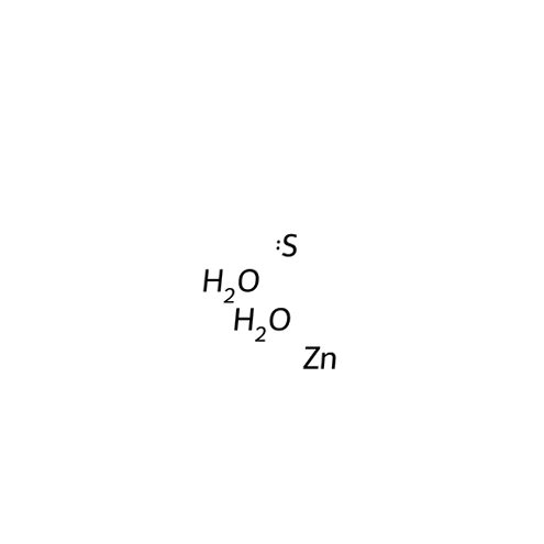 O.O.[S].[Zn]